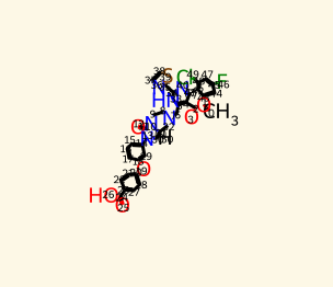 COC(=O)C1=C(CN2CCN3C(=O)N(c4cccc(Oc5ccc(C(=O)O)cc5)c4)C[C@@H]3C2)NC(c2nccs2)=N[C@H]1c1ccc(F)cc1Cl